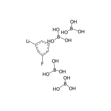 OB(O)O.OB(O)O.OB(O)O.OB(O)O.[Li][c]1cccc(F)c1